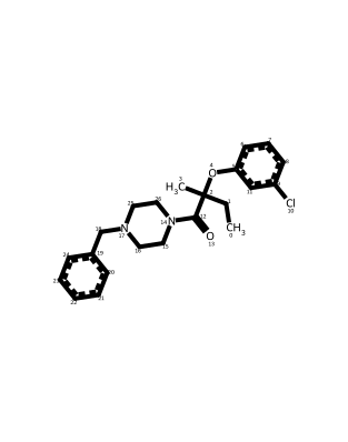 CCC(C)(Oc1cccc(Cl)c1)C(=O)N1CCN(Cc2ccccc2)CC1